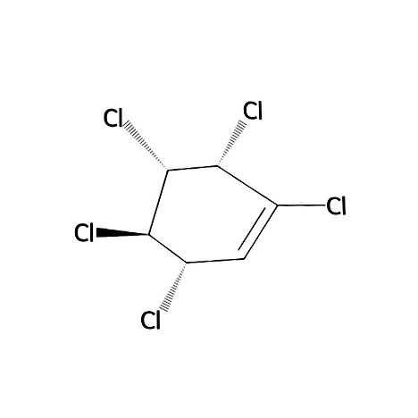 ClC1=C[C@H](Cl)[C@@H](Cl)[C@H](Cl)[C@@H]1Cl